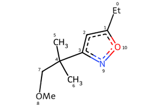 CCc1cc(C(C)(C)COC)no1